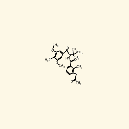 COc1cc(C(=O)N(NC(=O)c2cccc(OC(C)=O)c2C)C(C)(C)C)cc(OC)c1C